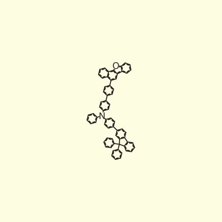 c1ccc(N(c2ccc(-c3ccc(-c4cc5c6ccccc6oc5c5ccccc45)cc3)cc2)c2ccc(-c3ccc4c(c3)C(c3ccccc3)(c3ccccc3)c3ccccc3-4)cc2)cc1